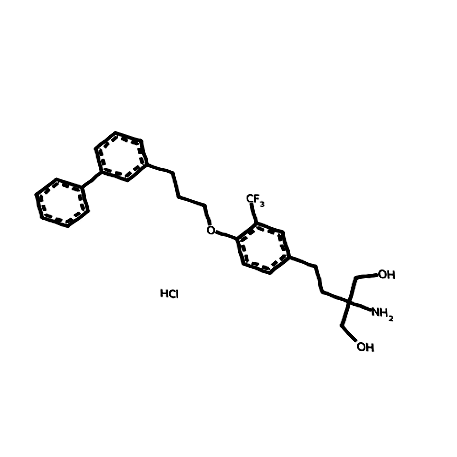 Cl.NC(CO)(CO)CCc1ccc(OCCCc2cccc(-c3ccccc3)c2)c(C(F)(F)F)c1